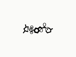 CC1CCCN(C(=O)c2cc3cc(S(=O)(=O)N4CC(C)CC(C)C4)ccc3o2)C1